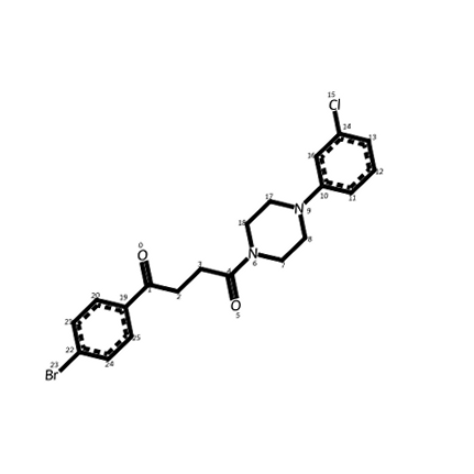 O=C(CCC(=O)N1CCN(c2cccc(Cl)c2)CC1)c1ccc(Br)cc1